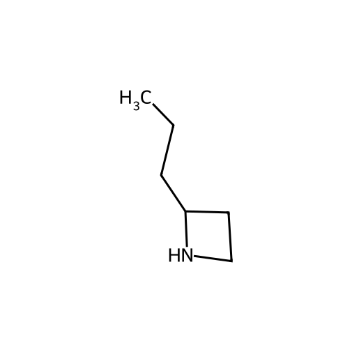 CCCC1CCN1